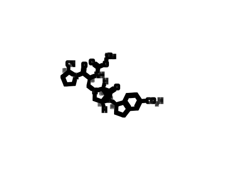 CC(C)(C)OC(=O)N[C@@H](CN1C[C@@H]2C[C@H]1C(=O)N2[C@@H]1CCc2cc(C(=O)O)ccc21)C(=O)N1CCC[C@H]1C#N